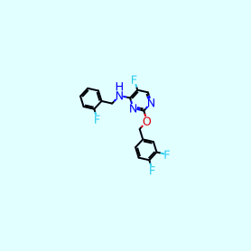 Fc1ccc(COc2ncc(F)c(NCc3ccccc3F)n2)cc1F